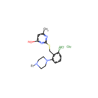 CCN1CCN(c2cccc(Cl)c2CSc2nc(C)cc(O)n2)CC1.Cl.Cl